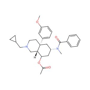 COc1cccc([C@@]23CCN(CC4CC4)C[C@H]2C(OC(C)=O)C[C@@H](N(C)C(=O)c2ccccc2)C3)c1